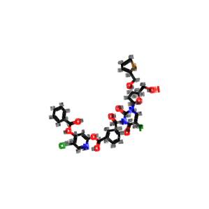 O=C(Oc1cc(OC(=O)c2ccccc2)c(Cl)cn1)c1cccc(C(=O)n2c(=O)c(F)cn([C@H]3C[C@H](OCc4cccs4)[C@@H](CO)O3)c2=O)c1